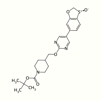 CC(C)(C)OC(=O)N1CCC(COc2ncc(-c3ccc4c(c3)OC[S@@+]4[O-])cn2)CC1